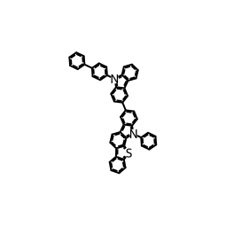 c1ccc(-c2ccc(-n3c4ccccc4c4cc(-c5ccc6c(c5)c5ccc7c8ccccc8sc7c5n6-c5ccccc5)ccc43)cc2)cc1